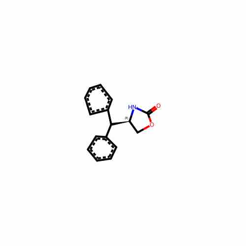 O=C1N[C@H](C(c2ccccc2)c2ccccc2)CO1